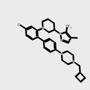 Cc1cnn(C2CCCN(c3cc(Cl)ccc3-c3ccc(N4CCN(CC5CCC5)CC4)cc3)C2)c1C(F)(F)F